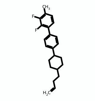 C=CCCC1CCC(c2ccc(-c3ccc(C)c(F)c3F)cc2)CC1